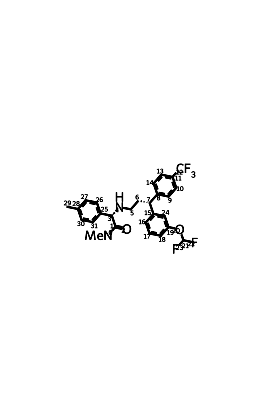 CNC(=O)[C@@H](NCC[C@H](c1ccc(C(F)(F)F)cc1)c1cccc(OC(F)F)c1)c1ccc(C)cc1